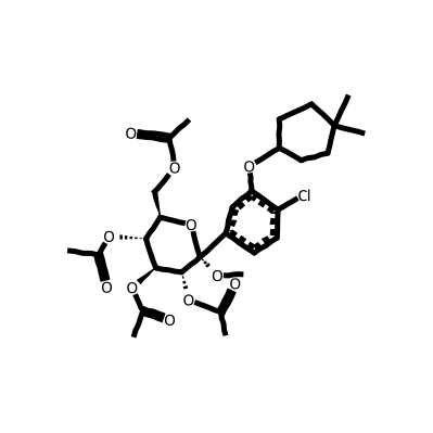 CO[C@@]1(c2ccc(Cl)c(OC3CCC(C)(C)CC3)c2)O[C@H](COC(C)=O)[C@@H](OC(C)=O)[C@H](OC(C)=O)[C@H]1OC(C)=O